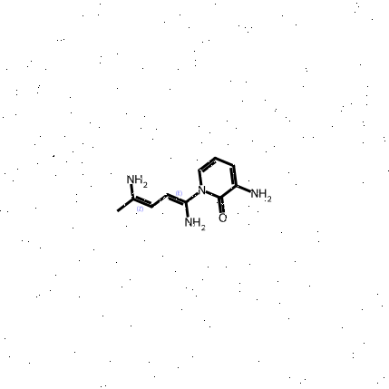 C/C(N)=C/C=C(\N)n1cccc(N)c1=O